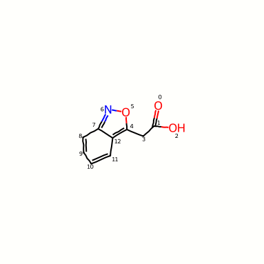 O=C(O)Cc1onc2ccccc12